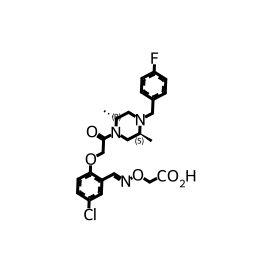 C[C@@H]1CN(Cc2ccc(F)cc2)[C@@H](C)CN1C(=O)COc1ccc(Cl)cc1C=NOCC(=O)O